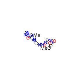 COc1ccc(CN2C(=O)CCN(c3cccc4c3ccn4CC(=O)N3CCN(CC4CCC(n5cc6cc(C(=O)Nc7cnc8cccnn78)c(OC)cc6n5)CC4)CC3)C2=O)cc1